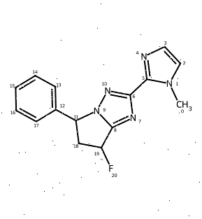 Cn1ccnc1-c1nc2n(n1)C(c1ccccc1)CC2F